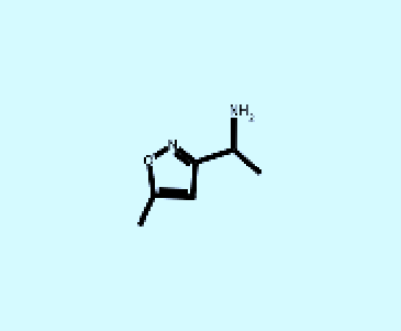 Cc1cc(C(C)N)no1